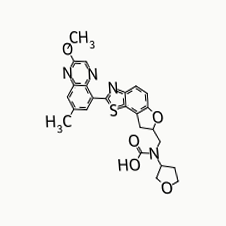 COc1cnc2c(-c3nc4ccc5c(c4s3)CC(CN(C(=O)O)C3CCOC3)O5)cc(C)cc2n1